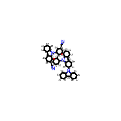 N#Cc1ccc(-c2ccccc2-n2c3ccccc3c3ccc(-n4c5ccccc5c5ccccc54)cc32)c(-n2c3ccccc3c3ccc(C#N)cc32)c1